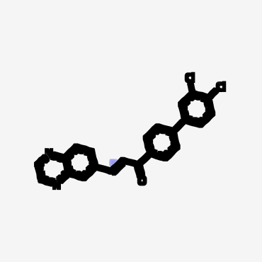 O=C(/C=C/c1ccc2nccnc2c1)c1ccc(-c2ccc(Cl)c(Cl)c2)cc1